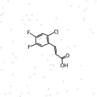 O=C(O)/C=C/c1cc(F)c(F)cc1Cl